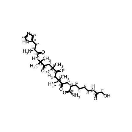 CC(C)(CC(=O)C(C)(C)CC(=O)C(C)(C)NC(=O)[C@@H](N)Cc1cnc[nH]1)C(=O)C[C@@H](CCCCNC(=O)CO)C(N)=O